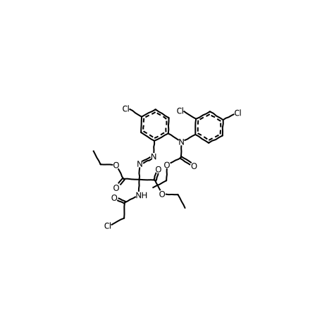 CCOC(=O)N(c1ccc(Cl)cc1Cl)c1ccc(Cl)cc1N=NC(NC(=O)CCl)(C(=O)OCC)C(=O)OCC